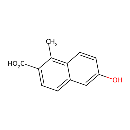 Cc1c(C(=O)O)ccc2cc(O)ccc12